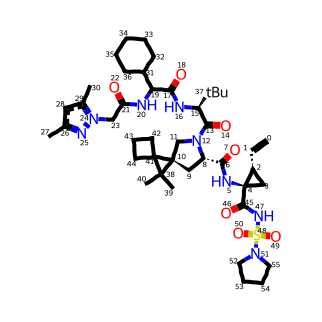 C=C[C@@H]1C[C@]1(NC(=O)[C@@H]1C[C@@]2(CN1C(=O)[C@@H](NC(=O)C(NC(=O)Cn1nc(C)cc1C)C1CCCCC1)C(C)(C)C)C(C)(C)C21CCC1)C(=O)NS(=O)(=O)N1CCCC1